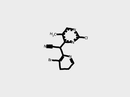 Cc1cnc(Cl)nc1C(C#N)C1=C(Br)CCC=N1